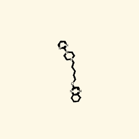 c1cnc(N2CCN(CCCCCOc3cnc4c(n3)CCCC4)CC2)nc1